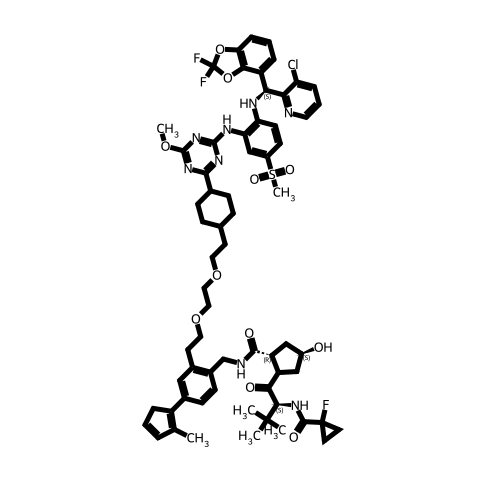 COc1nc(Nc2cc(S(C)(=O)=O)ccc2N[C@@H](c2cccc3c2OC(F)(F)O3)c2ncccc2Cl)nc(C2CCC(CCOCCOCCc3cc(C4=C(C)C=CC4)ccc3CNC(=O)[C@@H]3C[C@@H](O)CC3C(=O)[C@@H](NC(=O)C3(F)CC3)C(C)(C)C)CC2)n1